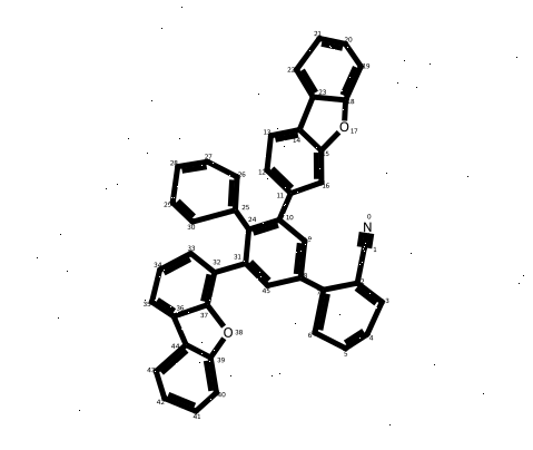 N#Cc1ccccc1-c1cc(-c2ccc3c(c2)oc2ccccc23)c(-c2ccccc2)c(-c2cccc3c2oc2ccccc23)c1